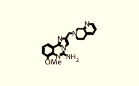 COc1cccc2c1nc(N)n1cc(CN3CCc4cccnc4C3)nc21